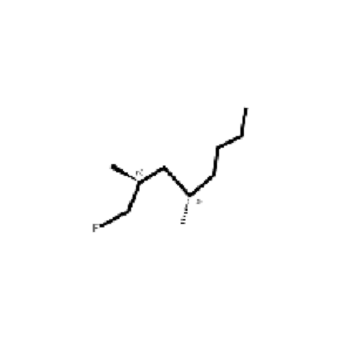 CCCC[C@H](C)C[C@H](C)CF